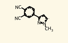 Cn1[c]cc(-c2ccc(C#N)c(C#N)c2)n1